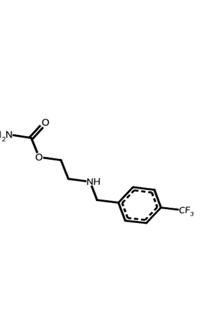 NC(=O)OCCNCc1ccc(C(F)(F)F)cc1